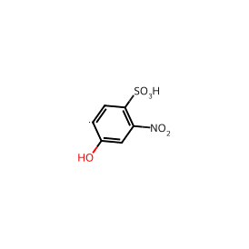 O=[N+]([O-])c1cc(O)[c]cc1S(=O)(=O)O